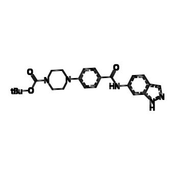 CC(C)(C)OC(=O)N1CCN(c2ccc(C(=O)Nc3ccc4cn[nH]c4c3)cc2)CC1